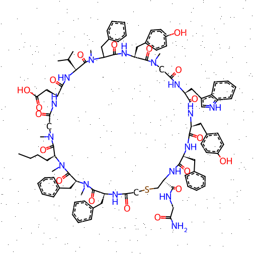 CCCC[C@H]1C(=O)N(C)CC(=O)N[C@@H](CC(=O)O)C(=O)N[C@@H](C(C)C)C(=O)N(C)C(Cc2ccccc2)C(=O)N[C@@H](Cc2ccc(O)cc2)C(=O)N(C)CC(=O)N[C@@H](Cc2c[nH]c3ccccc23)C(=O)N[C@@H](Cc2ccc(O)cc2)C(=O)N[C@@H](Cc2ccccc2)C(=O)N[C@H](C(=O)NCC(N)=O)CSCC(=O)N[C@@H](Cc2ccccc2)C(=O)N(C)[C@@H](Cc2ccccc2)C(=O)N1C